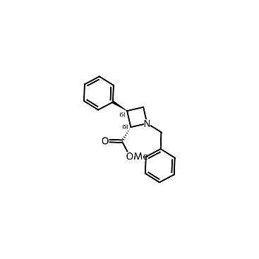 COC(=O)[C@@H]1[C@@H](c2ccccc2)CN1Cc1ccccc1